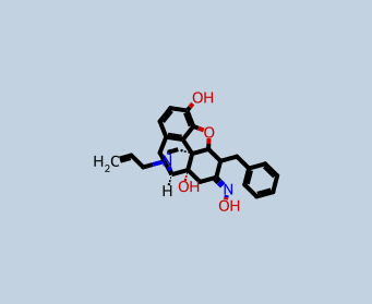 C=CCN1CC[C@]23c4c5ccc(O)c4OC2C(Cc2ccccc2)C(=NO)C[C@@]3(O)[C@H]1C5